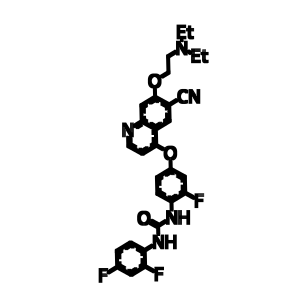 CCN(CC)CCOc1cc2nccc(Oc3ccc(NC(=O)Nc4ccc(F)cc4F)c(F)c3)c2cc1C#N